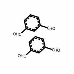 O=Cc1cccc(C=O)c1.O=Cc1cccc(C=O)c1